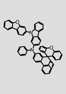 c1ccc(N(c2ccc3c(c2)C2(c4ccccc4Oc4ccccc42)c2cccc4cccc-3c24)c2ccc3c4ccccc4n(-c4ccc5c(c4)oc4ccccc45)c3c2)cc1